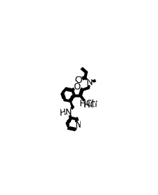 C=CC(=O)N(C)Cc1oc2cccc(CNc3cccnc3)c2c1C.Cl.Cl